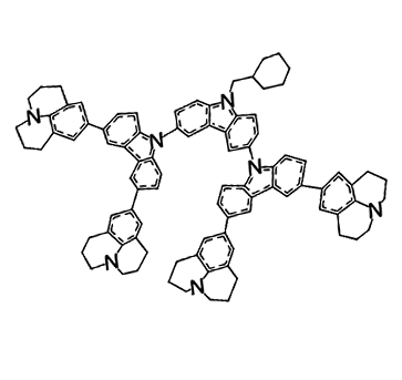 c1cc2c(cc1-c1cc3c4c(c1)CCCN4CCC3)c1cc(-c3cc4c5c(c3)CCCN5CCC4)ccc1n2-c1ccc2c(c1)c1cc(-n3c4ccc(-c5cc6c7c(c5)CCCN7CCC6)cc4c4cc(-c5cc6c7c(c5)CCCN7CCC6)ccc43)ccc1n2CC1CCCCC1